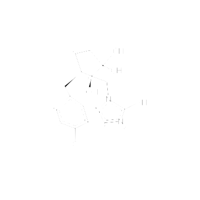 CC1(C)CC[C@H](Cc2ccc(Cl)cc2)[C@@]1(O)Cn1ncnc1S